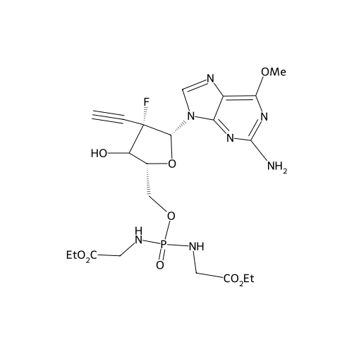 C#C[C@]1(F)C(O)[C@@H](COP(=O)(NCC(=O)OCC)NCC(=O)OCC)O[C@H]1n1cnc2c(OC)nc(N)nc21